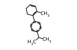 CC1=C(c2ccc(C(C)C)cc2)[CH]CC=C1